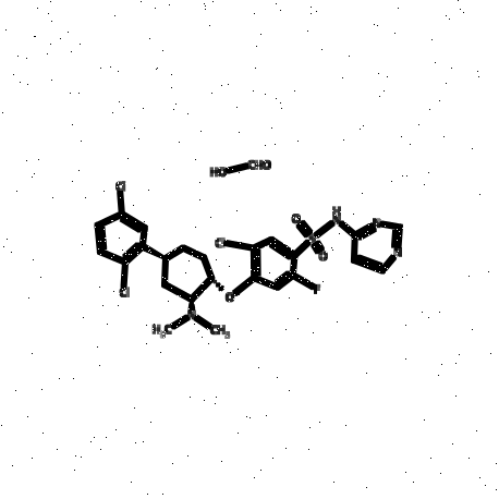 CN(C)[C@H]1C[C@@H](c2cc(Cl)ccc2Cl)CC[C@@H]1Oc1cc(F)c(S(=O)(=O)Nc2ccncn2)cc1Cl.O=CO